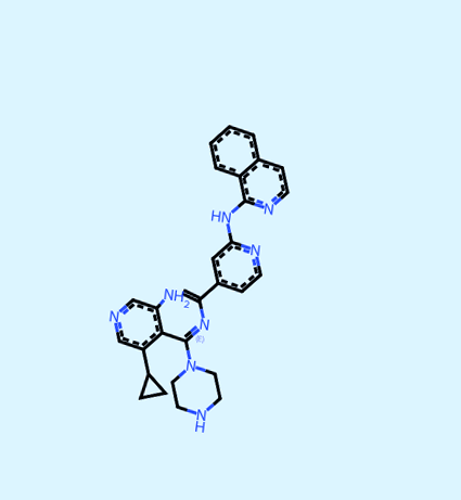 C=C(/N=C(\c1c(N)cncc1C1CC1)N1CCNCC1)c1ccnc(Nc2nccc3ccccc23)c1